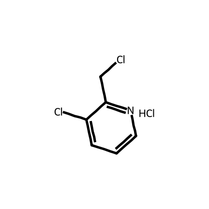 Cl.ClCc1ncccc1Cl